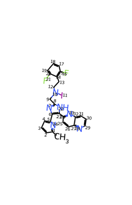 Cc1cccc(-c2nc(CN(I)CCc3c(F)cccc3F)[nH]c2-c2ccc3ncccc3n2)n1